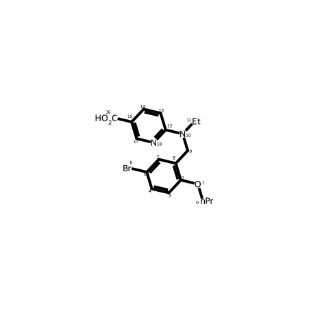 CCCOc1ccc(Br)cc1CN(CC)c1ccc(C(=O)O)cn1